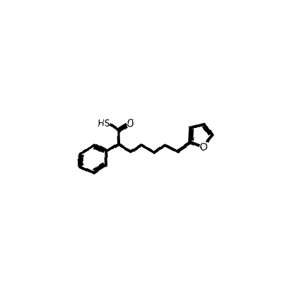 O=C(S)C(CCCCCc1ccco1)c1ccccc1